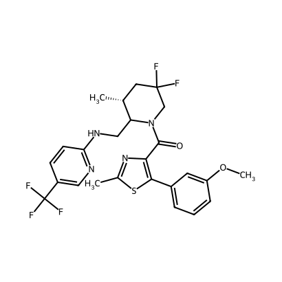 COc1cccc(-c2sc(C)nc2C(=O)N2CC(F)(F)C[C@@H](C)C2CNc2ccc(C(F)(F)F)cn2)c1